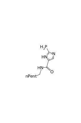 CCCCCCNC(=O)c1cnc(P)[nH]1